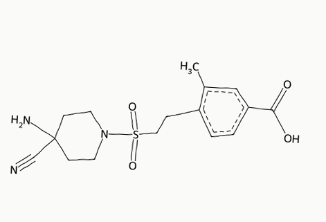 Cc1cc(C(=O)O)ccc1CCS(=O)(=O)N1CCC(N)(C#N)CC1